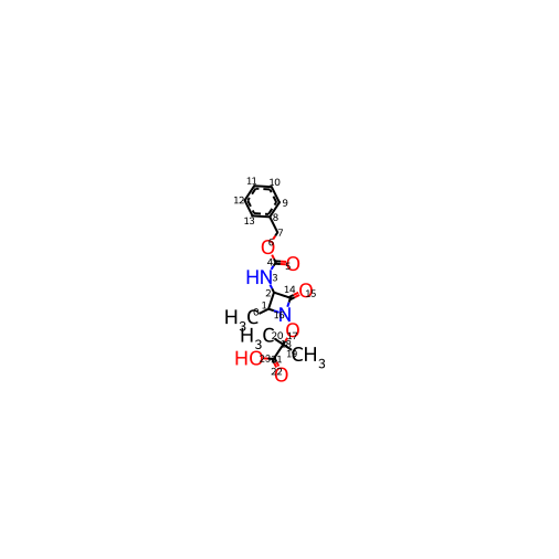 CC1C(NC(=O)OCc2ccccc2)C(=O)N1OC(C)(C)C(=O)O